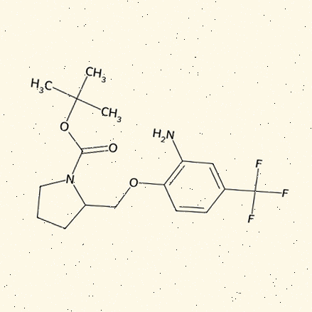 CC(C)(C)OC(=O)N1CCCC1COc1ccc(C(F)(F)F)cc1N